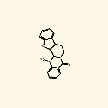 CN1c2ccccc2C(=O)N2CCC3c4ccccc4NC3C21